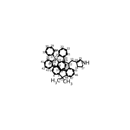 CC1(C)c2ccc(F)cc2-c2c(C(CC3=CNCC3)Cc3ccccc3[Si](c3ccccc3)(c3ccccc3)c3ccccc3)cccc21